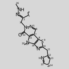 CC/C(Cn1ncc2c3sc(Cc4cscn4)nc3n(C)c2c1=O)=N\NC